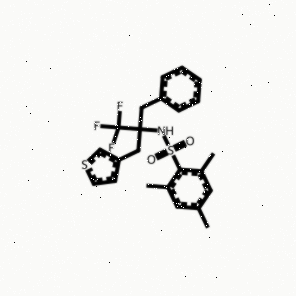 Cc1cc(C)c(S(=O)(=O)NC(Cc2ccccc2)(Cc2ccsc2)C(F)(F)F)c(C)c1